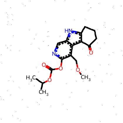 COCc1c(OC(=O)OC(C)C)ncc2[nH]c3c(c12)C(=O)CCC3